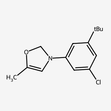 CC1=CN(c2cc(Cl)cc(C(C)(C)C)c2)CO1